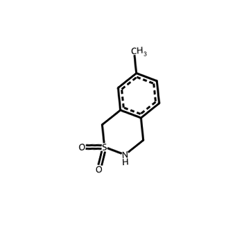 Cc1ccc2c(c1)CS(=O)(=O)NC2